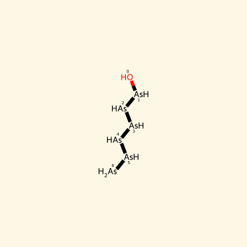 O[AsH][AsH][AsH][AsH][AsH][AsH2]